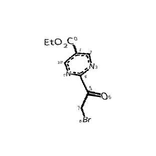 CCOC(=O)c1cnc(C(=O)CBr)nc1